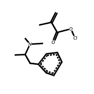 C=C(C)C(=O)OCl.CC(Cc1ccccc1)N(C)C